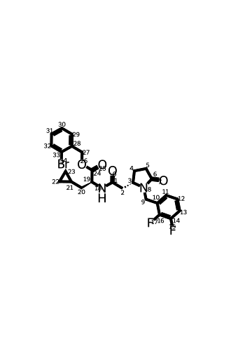 O=C(C[C@@H]1CCC(=O)N1Cc1cccc(F)c1F)N[C@@H](CC1CC1)C(=O)OCc1ccccc1Br